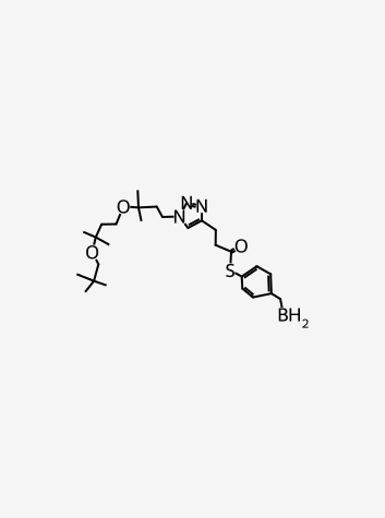 BCc1ccc(SC(=O)CCc2cn(CCC(C)(C)OCCC(C)(C)OCC(C)(C)C)nn2)cc1